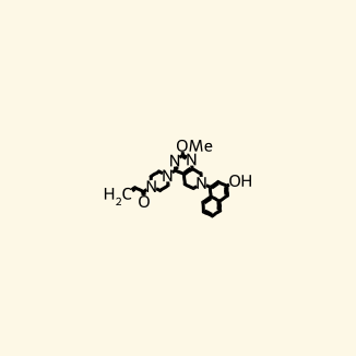 C=CC(=O)N1CCN(c2nc(OC)nc3c2CCN(c2cc(O)cc4ccccc24)C3)CC1